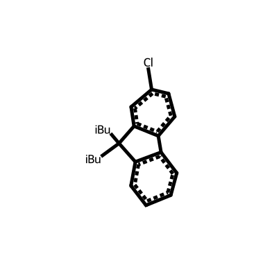 CCC(C)C1(C(C)CC)c2ccccc2-c2ccc(Cl)cc21